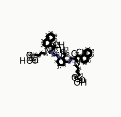 CC1(C)C(/C=C/C2=C(CI)C(=C/C=C3/N(CCCCS(=O)(=O)O)c4ccc5ccccc5c4C3(C)C)/CCC2)=[N+](CCCCS(=O)(=O)O)c2ccc3ccccc3c21